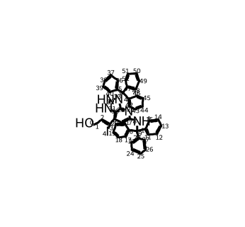 OC/C=C(\I)c1cc(NC(c2ccccc2)(c2ccccc2)c2ccccc2)nc2c1NNN2C(c1ccccc1)(c1ccccc1)c1ccccc1